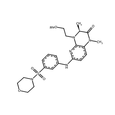 COCCN1c2nc(Nc3cccc(S(=O)(=O)N4CCOCC4)c3)ccc2N(C)C(=O)[C@@H]1C